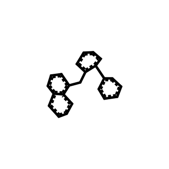 c1ccc(-c2ccccc2Cc2cccc3ccccc23)cc1